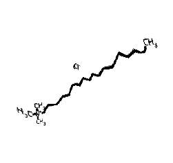 CCCCCCCCCCCCCCCCCC[N+](C)(C)C.[Cl-]